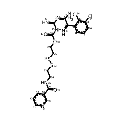 N=C(/N=C(/N)C(=N)c1cccc(Cl)c1Cl)NC(=O)OCCSSCCNC(=O)c1cccnc1